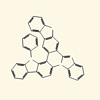 c1ccc(-n2c3ccccc3c3ccc4c(c5cc6c(cc5c5nc7ccccc7n45)sc4ccccc46)c32)cc1